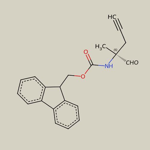 C#CC[C@@](C)(C=O)NC(=O)OCC1c2ccccc2-c2ccccc21